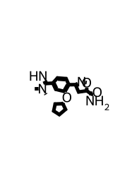 CN(C)C(=N)c1ccc(C2=NOC(C(N)=O)C2)c(OC2CCCC2)c1